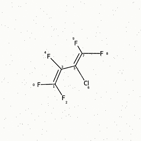 FC(F)=C(F)C(Cl)=C(F)F